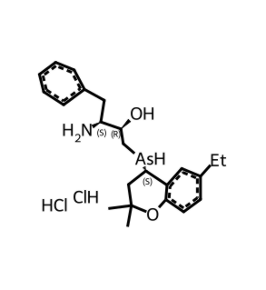 CCc1ccc2c(c1)[C@@H]([AsH]C[C@H](O)[C@@H](N)Cc1ccccc1)CC(C)(C)O2.Cl.Cl